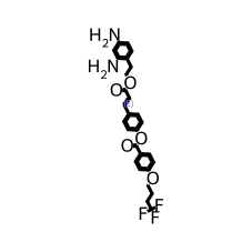 Nc1ccc(CCOC(=O)/C=C/c2ccc(OC(=O)c3ccc(OCCCC(F)(F)F)cc3)cc2)c(N)c1